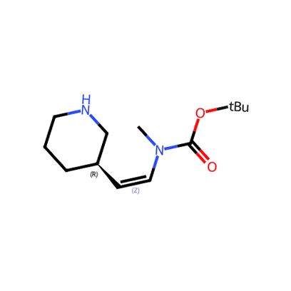 CN(/C=C\[C@H]1CCCNC1)C(=O)OC(C)(C)C